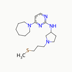 CSCCCN1CCC(Nc2nccc(N3CCCCCC3)n2)C1